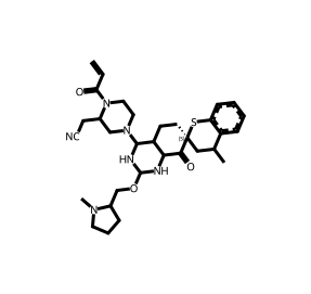 C=CC(=O)N1CCN(C2NC(OCC3CCCN3C)NC3C(=O)[C@]4(CCC32)CC(C)c2ccccc2S4)CC1CC#N